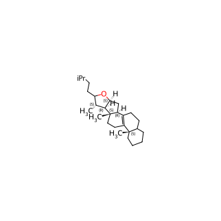 CC(C)CCC1O[C@H]2C[C@H]3C4=C(CC[C@]3(C)[C@H]2[C@@H]1C)[C@@]1(C)CCCCC1CC4